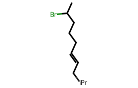 CC(C)CC=CCCCC(C)Br